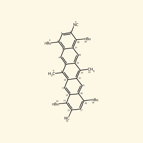 [C-]#[N+]c1cc(CCCC)c2cc3c(C)c4cc5c(CCCC)c(C#N)cc(CCCC)c5cc4c(C)c3cc2c1CCCC